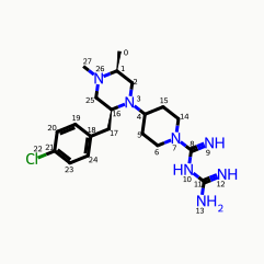 C[C@H]1CN(C2CCN(C(=N)NC(=N)N)CC2)[C@@H](Cc2ccc(Cl)cc2)CN1C